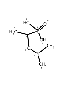 CC(ON(C)C)P(=O)(O)O